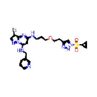 CCc1cnn2c(NCc3cccnc3)cc(NCCCOCCc3cn(S(=O)(=O)C4CC4)nn3)nc12